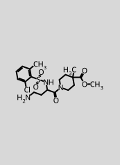 COC(=O)C1(C)CCN(C(=O)C(CCN)NS(=O)(=O)c2c(C)cccc2Cl)CC1